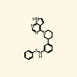 c1ccc(SNc2cccc(C3CCCN(c4ncnc5[nH]ccc45)C3)c2)cc1